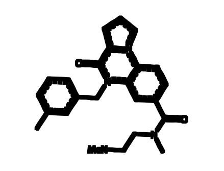 CNCCN(C)C(=O)c1ccc2c(c1)n(Cc1cccc(C)c1)c(=O)c1cccn12